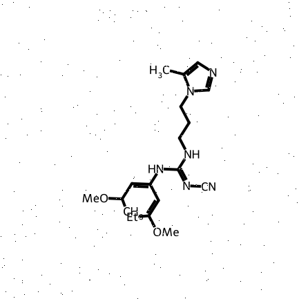 CC/C(=C\C(=C/C(C)OC)N/C(=N/C#N)NCCCn1cncc1C)OC